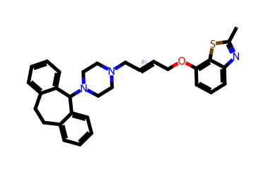 Cc1nc2cccc(OC/C=C/CN3CCN(C4c5ccccc5CCc5ccccc54)CC3)c2s1